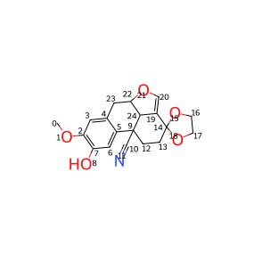 COc1cc2c(cc1O)C1(C#N)CCC3(OCCO3)C3=COC(C2)C31